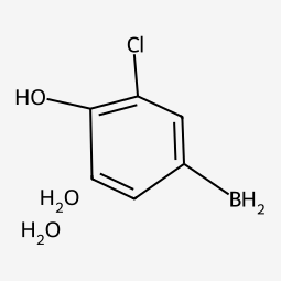 Bc1ccc(O)c(Cl)c1.O.O